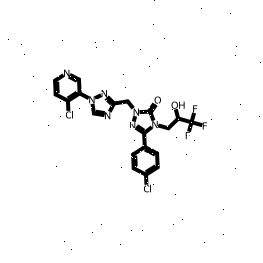 O=c1n(Cc2ncn(-c3cnccc3Cl)n2)nc(-c2ccc(Cl)cc2)n1CC(O)C(F)(F)F